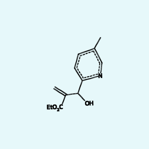 C=C(C(=O)OCC)C(O)c1ccc(C)cn1